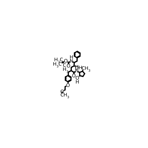 COCCOc1ccc(CC(CC(O)C(Cc2ccccc2)NC(=O)OC(C)(C)C)C(=O)NC2C(C)CCC2O)cc1